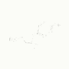 CCCC1(OC(=O)/C=C\C(=O)O)CC1